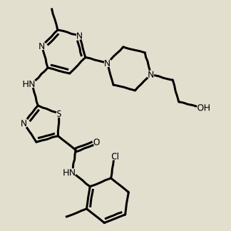 CC1=C(NC(=O)c2cnc(Nc3cc(N4CCN(CCO)CC4)nc(C)n3)s2)C(Cl)CC=C1